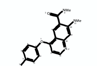 CNC(=O)c1cc2c(Oc3ccc(C)cc3)ccnc2cc1NC